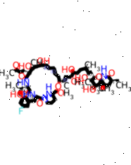 CC[C@H]1C[C@H](C)[C@@]2(NC1=O)O[C@@H](C[C@H](O)[C@@H](C)CCC(O)C(O)/C=C(\C)[C@@H]1C/C=C/C=C/[C@H](O)[C@H](C)[C@@H](O)[C@@H](CCC(C)=O)C(=O)N[C@@H](C(C)C)C(=O)NC(Cc3cc(O)cc(F)c3)C(=O)N3CCCC(N3)C(=O)O1)[C@H](C)[C@H](O)[C@@H]2C